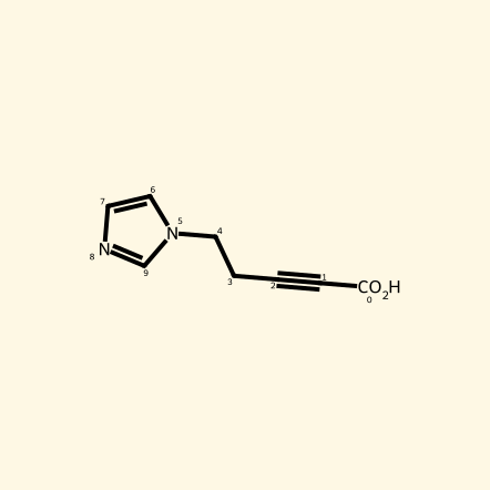 O=C(O)C#CCCn1ccnc1